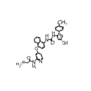 COCC(=O)Nc1cc(Oc2ccc(NC(=O)Nc3cc(O)nn3-c3ccc(C)cc3)c3ccccc23)ccn1